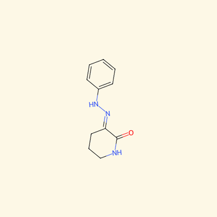 O=C1NCCC/C1=N\Nc1ccccc1